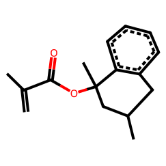 C=C(C)C(=O)OC1(C)CC(C)Cc2ccccc21